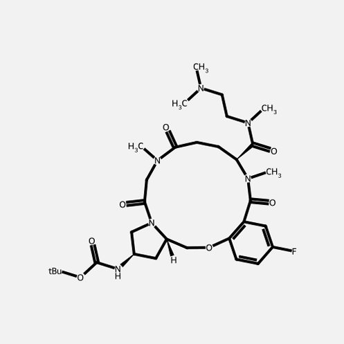 CN(C)CCN(C)C(=O)[C@@H]1CCC(=O)N(C)CC(=O)N2C[C@H](NC(=O)OC(C)(C)C)C[C@H]2COc2ccc(F)cc2C(=O)N1C